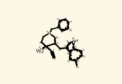 C#CC1(O)CCN(Cc2ccccc2)CC1Cc1c[nH]c2ccc(C)cc12